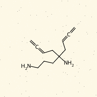 C=C=CCC(N)(CC=C=C)CCCN